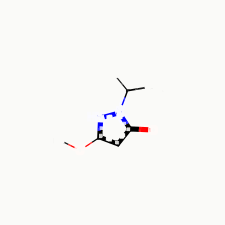 CCOc1cc(=O)n(C(CC)S(=O)(=O)O)[nH]1